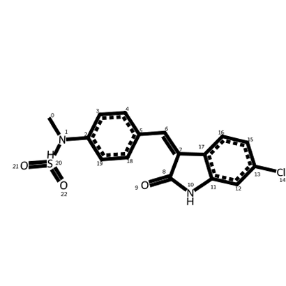 CN(c1ccc(C=C2C(=O)Nc3cc(Cl)ccc32)cc1)[SH](=O)=O